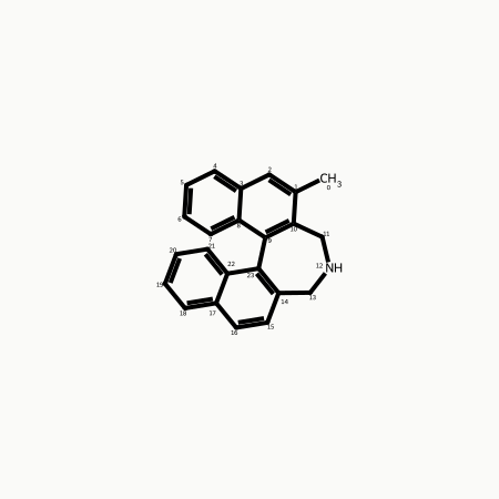 Cc1cc2ccccc2c2c1CNCc1ccc3ccccc3c1-2